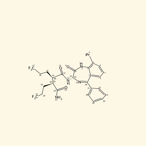 CC(C)c1cccc2c1NC(=O)[C@@H](NC(=O)[C@H](CCC(F)(F)F)[C@H](CCC(F)(F)F)C(N)=O)N=C2c1ccccc1